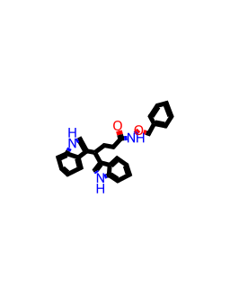 O=C(CCC(c1c[nH]c2ccccc12)c1c[nH]c2ccccc12)NOCc1ccccc1